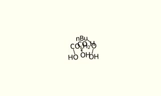 CCCCOO.O=C(O)O.O=C(O)O